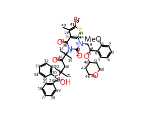 COc1ccccc1[C@H](Cn1c(=O)n(C(C)(C)C(=O)CC(C)(C)[Si](O)(c2ccccc2)c2ccccc2)c(=O)c2c(C)c(Br)sc21)OC1CCOCC1